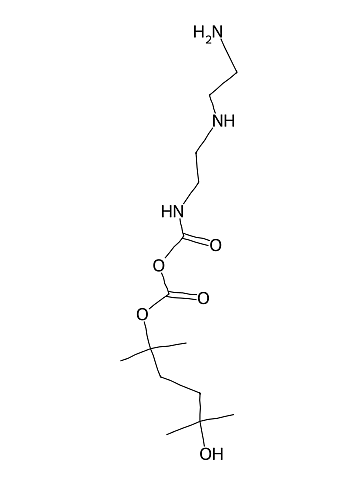 CC(C)(O)CCC(C)(C)OC(=O)OC(=O)NCCNCCN